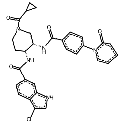 O=C(N[C@H]1CN(C(=O)C2CC2)CC[C@H]1NC(=O)c1ccc2c(Cl)c[nH]c2c1)c1ccc(-n2ccccc2=O)cc1